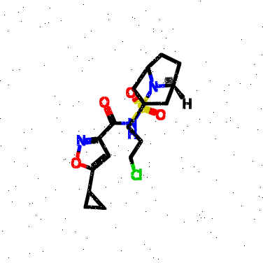 O=C(NC1CC2CC[C@H](C1)N2S(=O)(=O)CCCCl)c1cc(C2CC2)on1